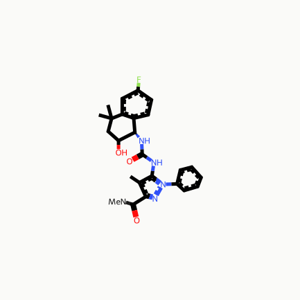 CNC(=O)c1nn(-c2ccccc2)c(NC(=O)N[C@@H]2c3ccc(F)cc3C(C)(C)CC2O)c1C